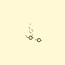 CCOC(=O)N1CCN(Cc2cc(CC(=O)O)ccc2OCc2ccc(Cl)cc2)CC1